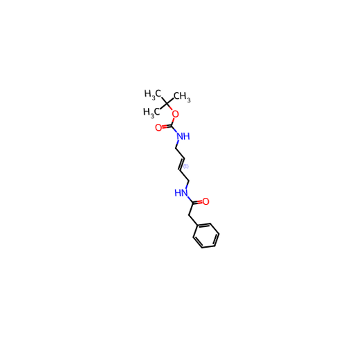 CC(C)(C)OC(=O)NC/C=C/CNC(=O)Cc1ccccc1